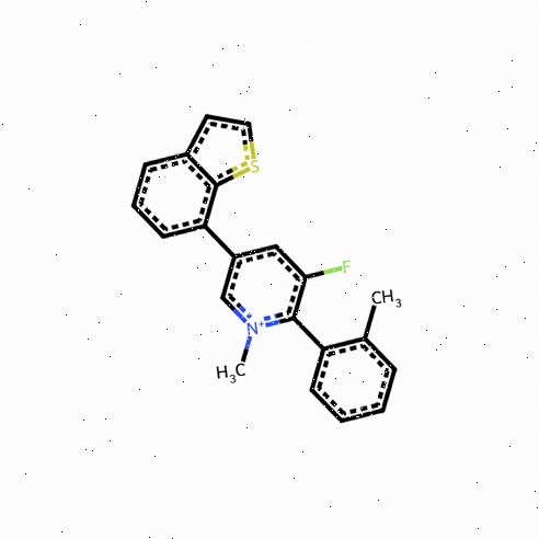 Cc1ccccc1-c1c(F)cc(-c2cccc3ccsc23)c[n+]1C